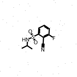 CC(C)NS(=O)(=O)c1cccc(F)c1C#N